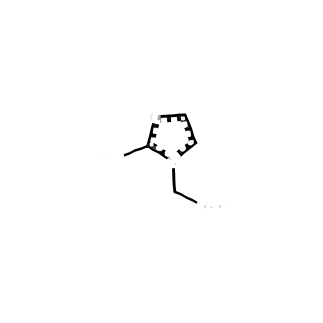 CCCCCCCCCC[n+]1cc[nH]c1CCCCCCCC